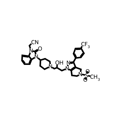 CS(=O)(=O)N1CCc2c(c(-c3ccc(C(F)(F)F)cc3)nn2CC(O)CN2CCC(n3c(=O)n(CC#N)c4ccccc43)CC2)C1